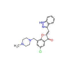 CN1CCN(Cc2cc(Cl)cc3c2O/C(=C\c2n[nH]c4ccccc24)C3=O)CC1